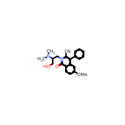 COc1ccc2c(=O)n(CC(CO)N(C)C)c(C#N)c(-c3ccccc3)c2c1